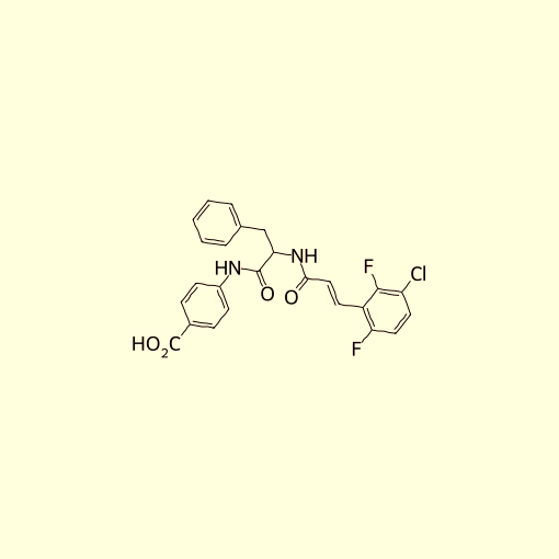 O=C(C=Cc1c(F)ccc(Cl)c1F)NC(Cc1ccccc1)C(=O)Nc1ccc(C(=O)O)cc1